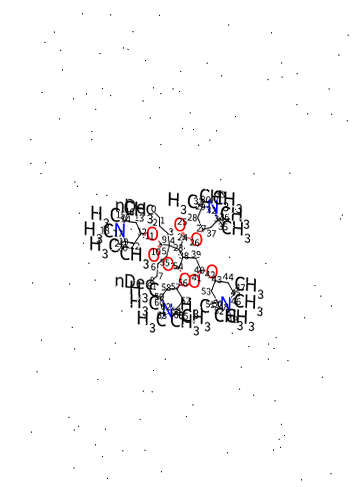 CCCCCCCCCCCCCC(CCCCCCCCCCCCC)(C(=O)OC1CC(C)(C)N(C)C(C)(C)C1)C(C(=O)OC1CC(C)(C)N(C)C(C)(C)C1)C(CC(=O)OC1CC(C)(C)N(C)C(C)(C)C1)C(=O)OC1CC(C)(C)N(C)C(C)(C)C1